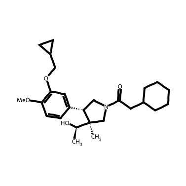 COc1ccc([C@@H]2CN(C(=O)[CH]C3CCCCC3)C[C@@]2(C)[C@@H](C)O)cc1OCC1CC1